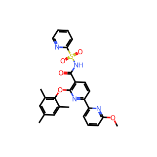 COc1cccc(-c2ccc(C(=O)NS(=O)(=O)c3ccccn3)c(Oc3c(C)cc(C)cc3C)n2)n1